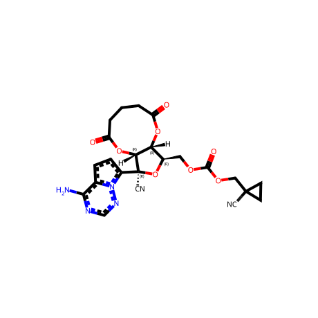 N#CC1(COC(=O)OC[C@H]2O[C@@](C#N)(c3ccc4c(N)ncnn34)[C@@H]3OC(=O)CCCC(=O)O[C@@H]32)CC1